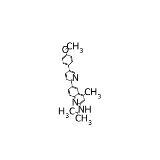 COc1ccc(-c2ccc(-c3ccc4nc(NC(C)C)cc(C)c4c3)nc2)cc1